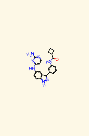 Nc1nccc(Nc2ccc3[nH]nc(-c4cccc(NC(=O)C5CCC5)c4)c3c2)n1